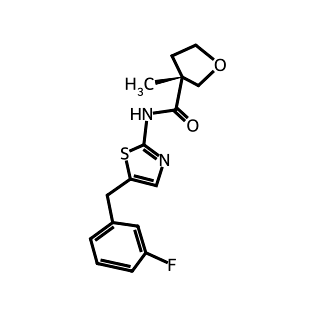 C[C@@]1(C(=O)Nc2ncc(Cc3cccc(F)c3)s2)CCOC1